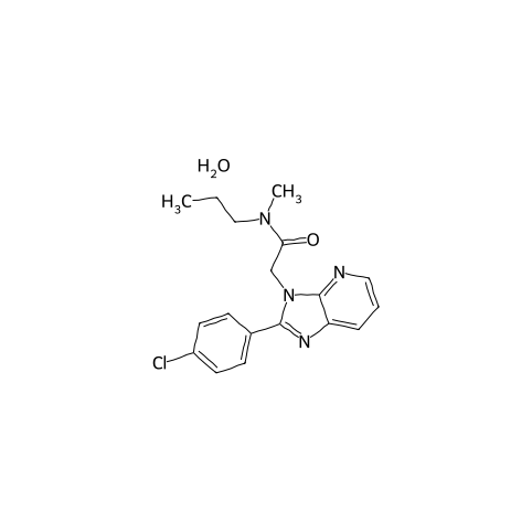 CCCN(C)C(=O)Cn1c(-c2ccc(Cl)cc2)nc2cccnc21.O